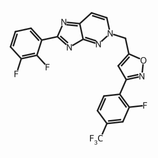 Fc1cc(C(F)(F)F)ccc1-c1cc(Cn2ccc3nc(-c4cccc(F)c4F)nc-3n2)on1